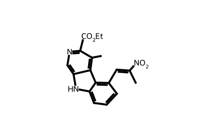 CCOC(=O)c1ncc2[nH]c3cccc(/C=C(\C)[N+](=O)[O-])c3c2c1C